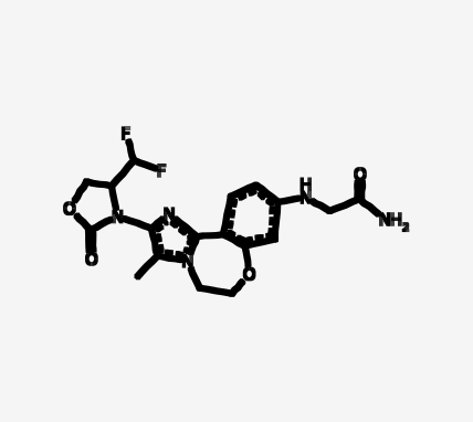 Cc1c(N2C(=O)OCC2C(F)F)nc2n1CCOc1cc(NCC(N)=O)ccc1-2